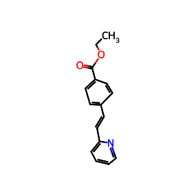 CCOC(=O)c1ccc(C=Cc2ccccn2)cc1